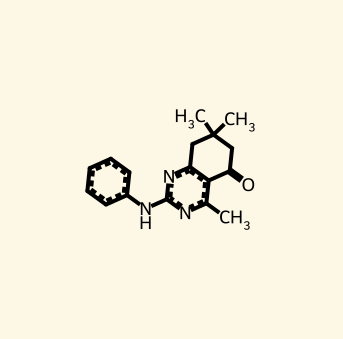 Cc1nc(Nc2ccccc2)nc2c1C(=O)CC(C)(C)C2